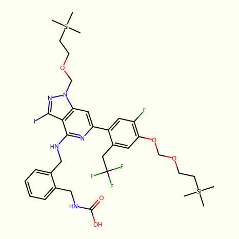 C[Si](C)(C)CCOCOc1cc(CC(F)(F)F)c(-c2cc3c(c(I)nn3COCC[Si](C)(C)C)c(NCc3ccccc3CNC(=O)O)n2)cc1F